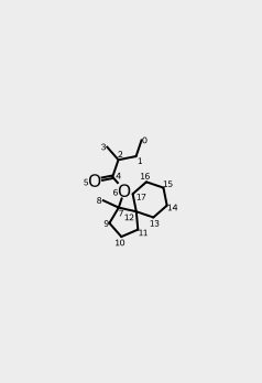 CCC(C)C(=O)OC1(C)CCCC12CCCCC2